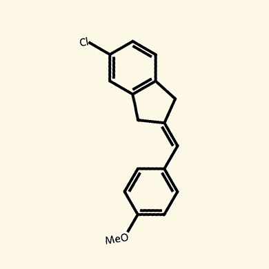 COc1ccc(C=C2Cc3ccc(Cl)cc3C2)cc1